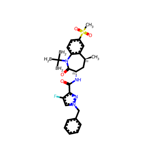 BC(B)(B)N1C(=O)[C@@H](NC(=O)c2nn(Cc3ccccc3)cc2F)C[C@H](C)c2cc(S(C)(=O)=O)ccc21